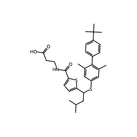 Cc1cc(SC(CC(C)C)c2ccc(C(=O)NCCC(=O)O)s2)cc(C)c1-c1ccc(C(C)(C)C)cc1